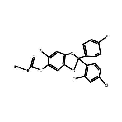 CC(C)NC(=O)Oc1cc2c(cc1F)OC(c1ccc(F)cc1)(c1ccc(Cl)cc1Cl)O2